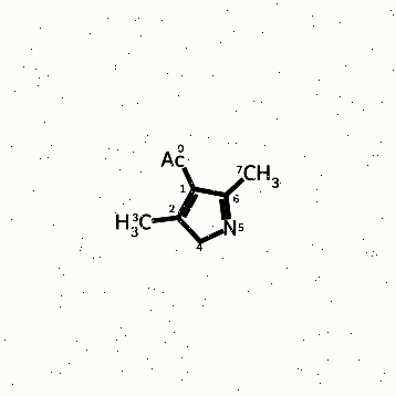 CC(=O)C1=C(C)CN=C1C